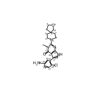 Cn1c(N2CCC3(CCOC3)CC2)nc2[nH]nc(-c3cc(N)ncc3Cl)c2c1=O